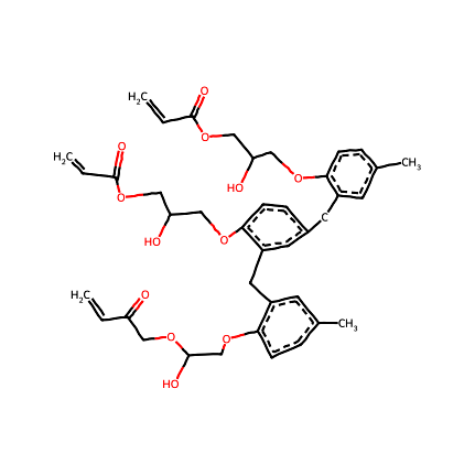 C=CC(=O)COC(O)COc1ccc(C)cc1Cc1cc(Cc2cc(C)ccc2OCC(O)COC(=O)C=C)ccc1OCC(O)COC(=O)C=C